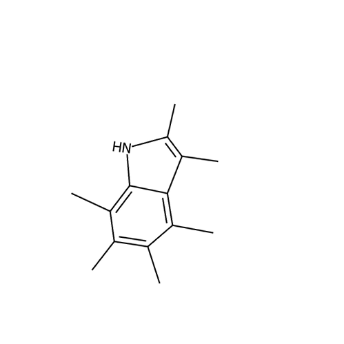 Cc1[nH]c2c(C)c(C)c(C)c(C)c2c1C